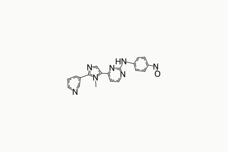 Cn1c(-c2ccnc(Nc3ccc(N=O)cc3)n2)cnc1-c1cccnc1